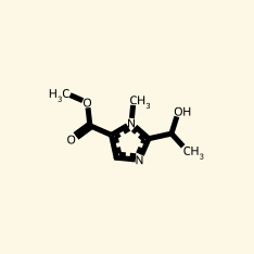 COC(=O)c1cnc(C(C)O)n1C